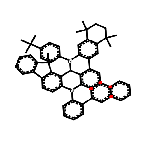 CC(C)(C)c1ccc(N2c3cc4c(cc3-c3cc(-c5ccccc5)cc5c3C2c2c(ccc3c2C(C)(C)c2ccccc2-3)N5c2ccccc2-c2ccccc2)C(C)(C)CCC4(C)C)cc1